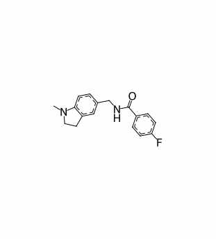 CN1CCc2cc(CNC(=O)c3ccc(F)cc3)ccc21